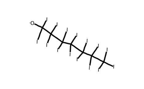 [O]C(I)(I)C(I)(I)C(I)(I)C(I)(I)C(I)(I)C(I)(I)C(I)(I)I